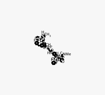 CN[C@@H](C)C(=O)NC(C(=O)N1Cc2ccc(NC(=O)CCCNC(=O)[C@]3(C)CN(C(=O)CN4C[C@@H](C)NC[C@@H]4CN4CCOC[C@H]4C)c4cc(Cc5ccc(F)cc5)ccc43)cc2[C@H]1C(=O)Nc1c(F)cccc1F)C1CCOCC1